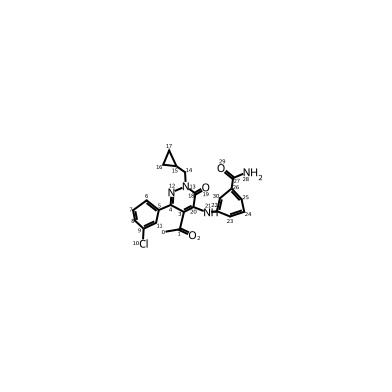 CC(=O)c1c(-c2cccc(Cl)c2)nn(CC2CC2)c(=O)c1Nc1cccc(C(N)=O)c1